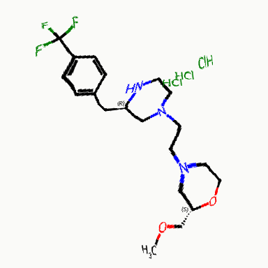 COC[C@@H]1CN(CCN2CCN[C@H](Cc3ccc(C(F)(F)F)cc3)C2)CCO1.Cl.Cl.Cl